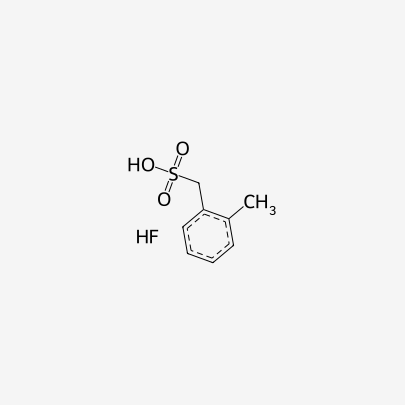 Cc1ccccc1CS(=O)(=O)O.F